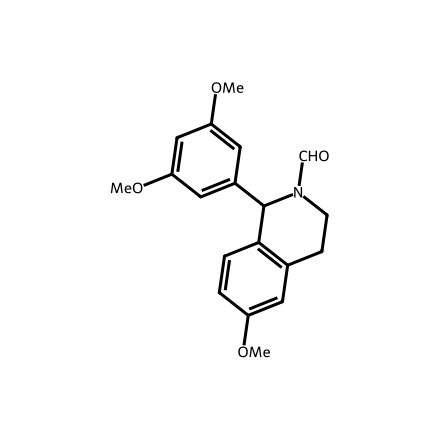 COc1cc(OC)cc(C2c3ccc(OC)cc3CCN2C=O)c1